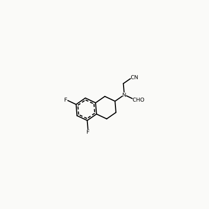 N#CCN(C=O)C1CCc2c(F)cc(F)cc2C1